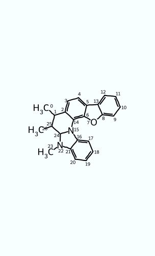 CC1c2ccc3c(oc4ccccc43)c2N2c3ccccc3N(C)C2C1C